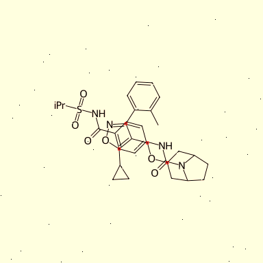 Cc1ccccc1-c1noc(C2CC2)c1COC1CC2CCC(C1)N2C(=O)Nc1ccc(C(=O)NS(=O)(=O)C(C)C)cc1